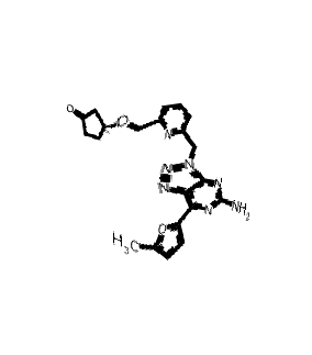 Cc1ccc(-c2nc(N)nc3c2nnn3Cc2cccc(CO[C@H]3CCC(=O)C3)n2)o1